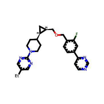 CCc1cnc(N2CCC([C@H]3C[C@H]3COCc3ccc(-c4ccncn4)cc3F)CC2)nc1